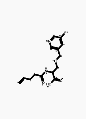 C=CCCC(=O)NC(COCc1cncc(F)c1)C(=O)O